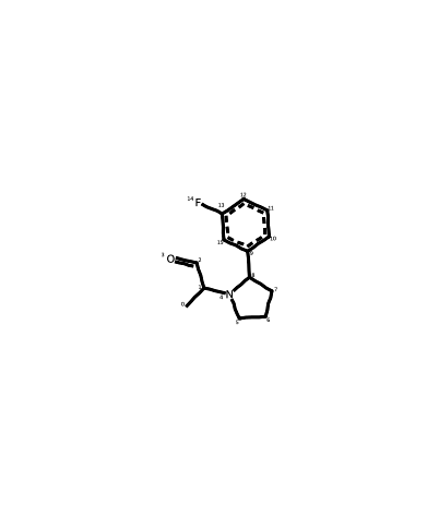 CC(C=O)N1CCCC1c1cccc(F)c1